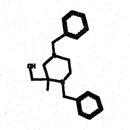 CC1(CO)CN(Cc2ccccc2)CCN1Cc1ccccc1